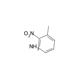 Cc1ccccc1[N+](=O)[O-].N